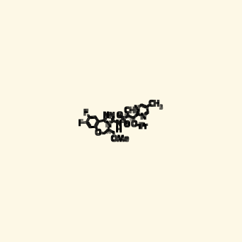 COC[C@H]1COc2cc(F)c(F)cc2-c2nnc(NS(=O)(=O)[C@@H](C)[C@@H](OC(C)C)c3ncc(C)cn3)n21